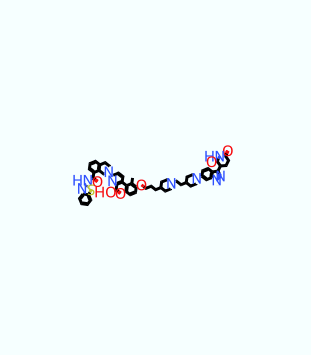 Cc1c(OCCCC2CCN(CCC3CCN(c4ccc5c(C6CCC(=O)NC6=O)nn(C)c5c4)CC3)CC2)cccc1-c1ccc(N2CCc3cccc(C(=O)Nc4nc5ccccc5s4)c3C2)nc1C(=O)O